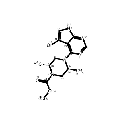 C[C@@H]1CN(c2ncnc3[nH]cc(Br)c23)[C@@H](C)CN1C(=O)OC(C)(C)C